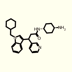 N[C@H]1CC[C@H](NC(=O)CC(c2cccnc2)c2cn(CC3CCCCC3)c3ccccc23)CC1